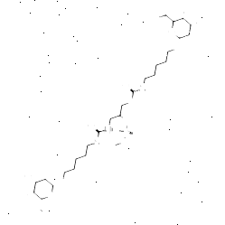 COP(=O)(O)OC(COC(=O)NCCCCCO[C@H]1C[C@@H](O)[C@@H](O)C(CO)O1)COC(=O)NCCCCCO[C@H]1C[C@@H](O)[C@@H](O)[C@@H](CO)O1